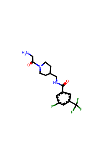 NCC(=O)N1CCC(CNC(=O)c2cc(F)cc(C(F)(F)F)c2)CC1